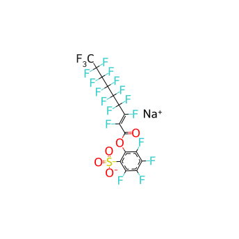 O=C(Oc1c(F)c(F)c(F)c(F)c1S(=O)(=O)[O-])C(F)=C(F)C(F)(F)C(F)(F)C(F)(F)C(F)(F)C(F)(F)C(F)(F)F.[Na+]